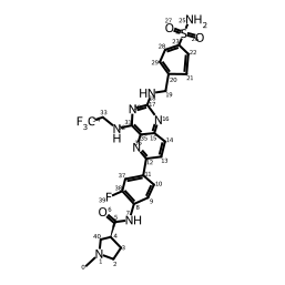 CN1CC[C@H](C(=O)Nc2ccc(-c3ccc4nc(NCc5ccc(S(N)(=O)=O)cc5)nc(NCC(F)(F)F)c4n3)cc2F)C1